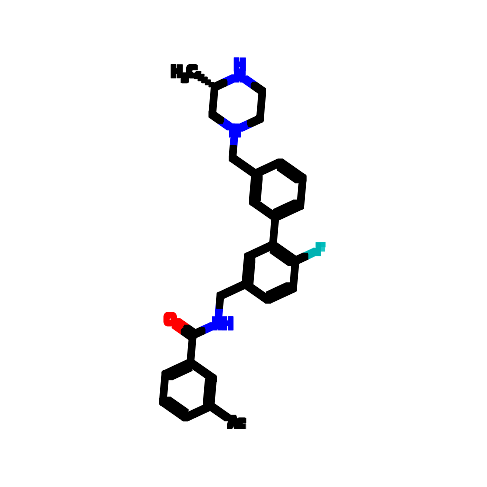 CC(=O)c1cccc(C(=O)NCc2ccc(F)c(-c3cccc(CN4CCN[C@@H](C)C4)c3)c2)c1